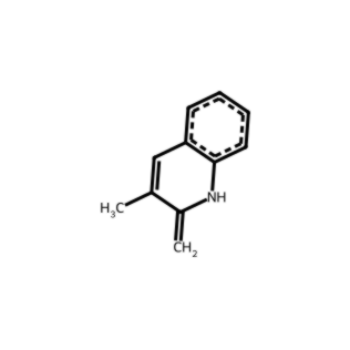 C=C1Nc2ccccc2C=C1C